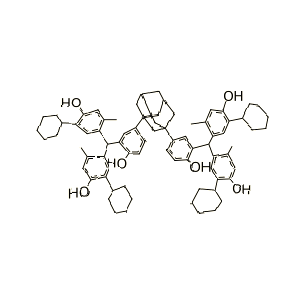 Cc1cc(O)c(C2CCCCC2)cc1C(c1cc(C2CCCCC2)c(O)cc1C)c1cc(C23CC4CC(C2)CC(c2ccc(O)c(C(c5cc(C6CCCCC6)c(O)cc5C)c5cc(C6CCCCC6)c(O)cc5C)c2)(C4)C3)ccc1O